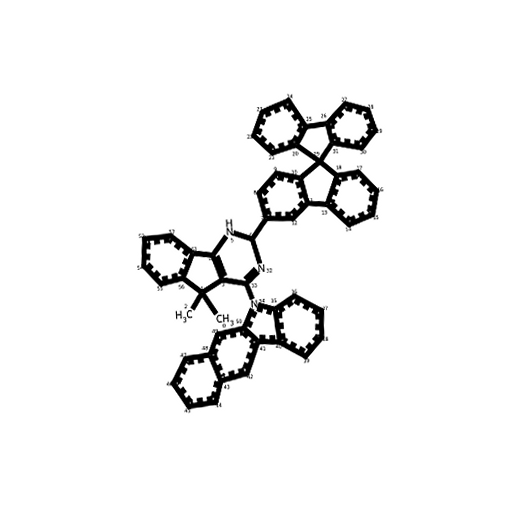 CC1(C)C2=C(NC(c3ccc4c(c3)-c3ccccc3C43c4ccccc4-c4ccccc43)N=C2n2c3ccccc3c3cc4ccccc4cc32)c2ccccc21